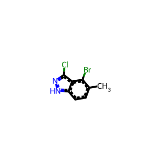 Cc1ccc2[nH]nc(Cl)c2c1Br